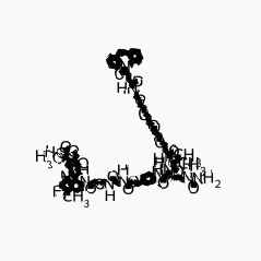 CC[C@@]1(O)C(=O)OCc2c1cc1n(c2=O)Cc2c-1nc1cc(F)c(C)c3c1c2[C@@H](NC(=O)COCNC(=O)CNC(=O)OCc1ccc(NC(=O)[C@H](CCCNC(N)=O)NC(=O)[C@@H](NC(=O)CCOCCOCCOCCOCCNC(=O)CCC(=O)N2Cc4ccccc4C#Cc4ccccc42)C(C)C)cc1)CC3